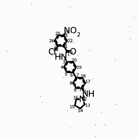 O=C(Nc1ccc(-c2ccc(NN3CCCC3)cc2)cc1)c1cc([N+](=O)[O-])ccc1Cl